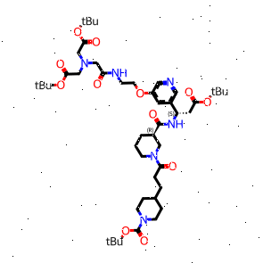 CC(C)(C)OC(=O)C[C@H](NC(=O)[C@@H]1CCCN(C(=O)CCC2CCN(C(=O)OC(C)(C)C)CC2)C1)c1cncc(OCCNC(=O)CN(CC(=O)OC(C)(C)C)CC(=O)OC(C)(C)C)c1